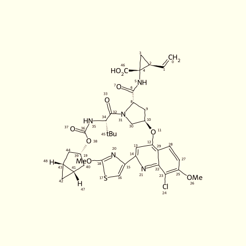 C=C[C@@H]1C[C@]1(NC(=O)[C@@H]1C[C@@H](Oc2cc(-c3csc(OC)n3)nc3c(Cl)c(OC)ccc23)CN1C(=O)[C@@H](NC(=O)O[C@@H]1C[C@@H]2C[C@@H]2C1)C(C)(C)C)C(=O)O